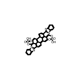 O=S(=O)(O)Oc1c2ccc3c4ccc5c6c(ccc(c7ccc(c2c37)c2nc3ccccc3n12)c46)c(OS(=O)(=O)O)n1c2ccccc2nc51